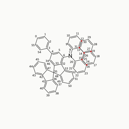 c1ccc(-c2cc(N(c3ccccc3-c3ccccc3)c3ccccc3-c3ccccc3)c3c(c2)C2(c4ccccc4-c4ccccc42)c2ccccc2-3)cc1